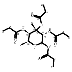 CCC(=O)OC1O[C@@H](C)[C@@H](OC(=O)CC)[C@](C)(OC(=O)CC)[C@@H]1OC(=O)CC